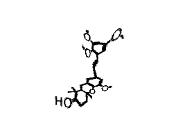 COc1cc(C=Cc2cc3c(c(OC)c2)OC2(C)CCC(O)C(C)(C)C2C3)c(OC)c(OC)c1